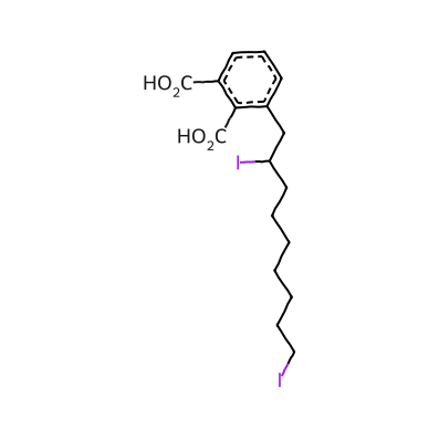 O=C(O)c1cccc(CC(I)CCCCCCCI)c1C(=O)O